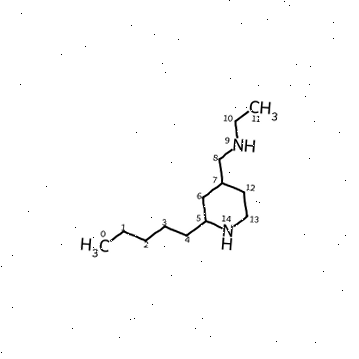 CCCCCC1CC(CNCC)CCN1